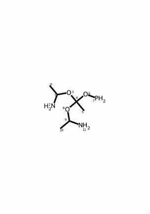 CC(N)OC(C)(OP)OC(C)N